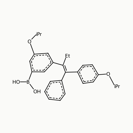 CC/C(=C(/c1ccccc1)c1ccc(OC(C)C)cc1)c1cc(OC(C)C)cc(B(O)O)c1